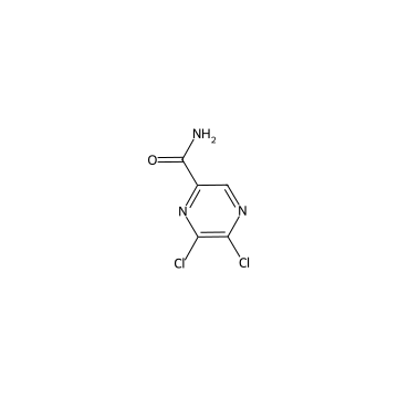 NC(=O)c1cnc(Cl)c(Cl)n1